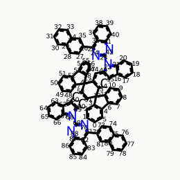 c1ccc2c(c1)-c1ccccc1C21c2cc3c4ccccc4n(-c4nc(-c5ccc6ccccc6c5)c5ccccc5n4)c3cc2C2(c3ccccc3-c3ccccc32)c2cc3c4ccccc4n(-c4nc(-c5ccc6ccccc6c5)c5ccccc5n4)c3cc21